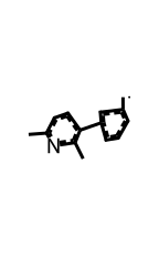 [CH2]c1cccc(-c2ccc(C)nc2C)c1